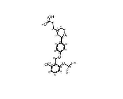 O=C(O)CCN1CCOC(c2ccc(OCc3c(Cl)cccc3OC(F)F)cc2)C1